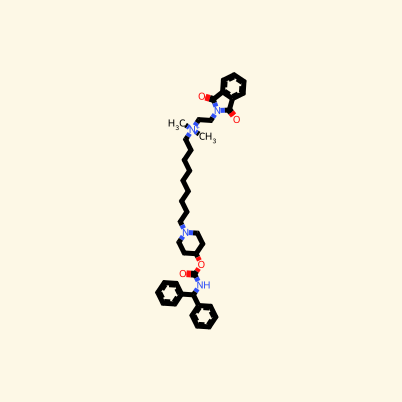 C[N+](C)(CCCCCCCCCN1CCC(OC(=O)NC(c2ccccc2)c2ccccc2)CC1)CCN1C(=O)c2ccccc2C1=O